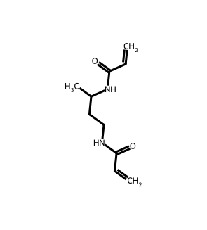 C=CC(=O)NCCC(C)NC(=O)C=C